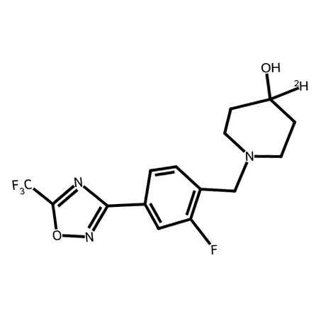 [2H]C1(O)CCN(Cc2ccc(-c3noc(C(F)(F)F)n3)cc2F)CC1